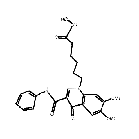 COc1cc2c(=O)c(C(=O)Nc3ccccc3)cn(CCCCCC(=O)NO)c2cc1OC